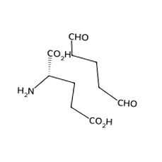 N[C@@H](CCC(=O)O)C(=O)O.O=CCCCC=O